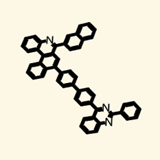 c1ccc(-c2nc(-c3ccc(-c4ccc(-c5cc6c(-c7ccc8ccccc8c7)nc7ccccc7c6c6ccccc56)cc4)cc3)c3ccccc3n2)cc1